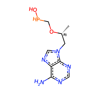 C[C@H](Cn1cnc2c(N)ncnc21)OCPO